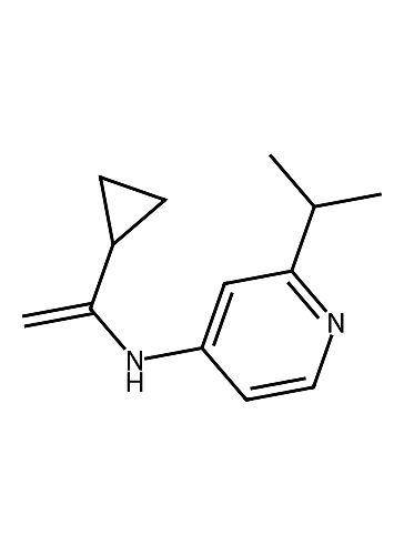 C=C(Nc1ccnc(C(C)C)c1)C1CC1